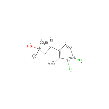 CCOC(=O)C(O)(CC(CC)c1ccc(Cl)c(Cl)c1OC)C(F)(F)F